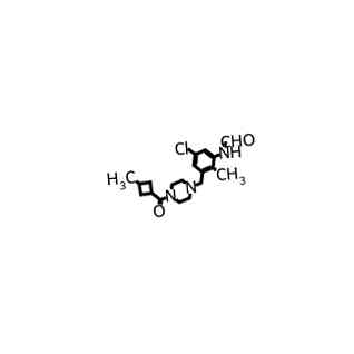 Cc1c(CN2CCN(C(=O)C3CC(C)C3)CC2)cc(Cl)cc1NC=O